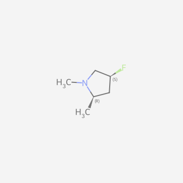 C[C@@H]1C[C@H](F)CN1C